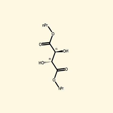 CCCOC(=O)[C@@H](O)[C@@H](O)C(=O)OCCC